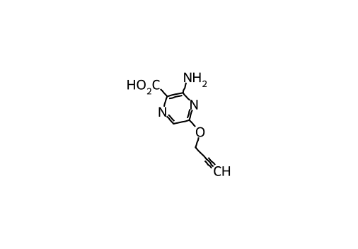 C#CCOc1cnc(C(=O)O)c(N)n1